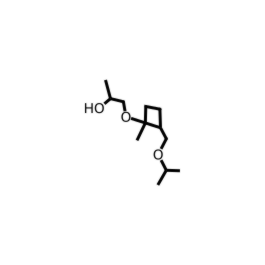 CC(O)COC1(C)CCC1COC(C)C